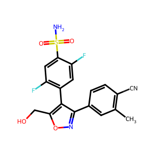 Cc1cc(-c2noc(CO)c2-c2cc(F)c(S(N)(=O)=O)cc2F)ccc1C#N